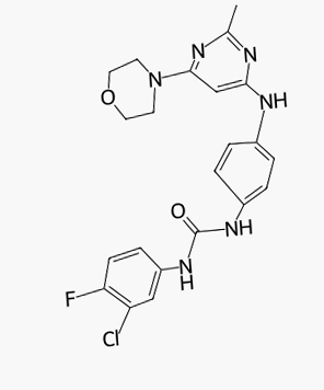 Cc1nc(Nc2ccc(NC(=O)Nc3ccc(F)c(Cl)c3)cc2)cc(N2CCOCC2)n1